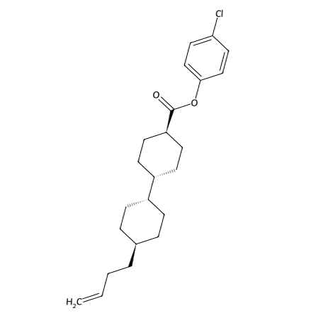 C=CCC[C@H]1CC[C@H]([C@H]2CC[C@H](C(=O)Oc3ccc(Cl)cc3)CC2)CC1